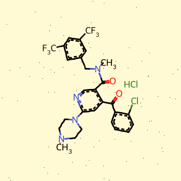 CN1CCN(c2cc(C(=O)c3ccccc3Cl)c(C(=O)N(C)Cc3cc(C(F)(F)F)cc(C(F)(F)F)c3)cn2)CC1.Cl